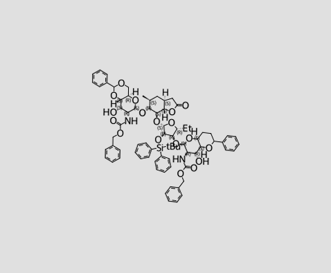 CC[C@H]1O[C@@H](O[C@@H]2[C@H]3OC(=O)C[C@@H]3C[C@H](C)[C@H]2O[C@H]2O[C@@H]3COC(c4ccccc4)O[C@H]3[C@@H](O)[C@H]2NC(=O)OCc2ccccc2)[C@H](O[Si](c2ccccc2)(c2ccccc2)C(C)(C)C)[C@@H]1O[C@H]1O[C@H]2CCC(c3ccccc3)O[C@H]2[C@H](O)[C@H]1NC(=O)OCc1ccccc1